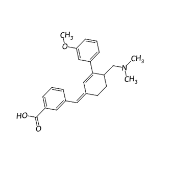 COc1cccc(C2=CC(=Cc3cccc(C(=O)O)c3)CCC2CN(C)C)c1